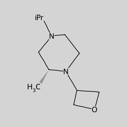 CC(C)N1CCN(C2COC2)[C@H](C)C1